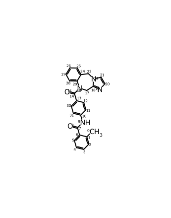 Cc1ccccc1C(=O)Nc1ccc(C(=O)N2Cc3nccn3Cc3ccccc32)cc1